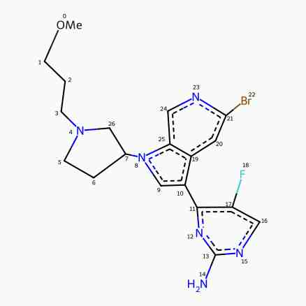 COCCCN1CCC(n2cc(-c3nc(N)ncc3F)c3cc(Br)ncc32)C1